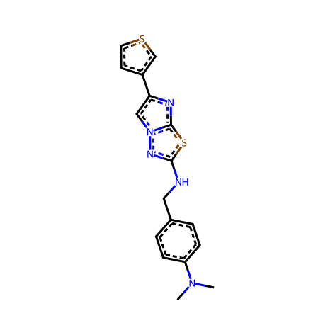 CN(C)c1ccc(CNc2nn3cc(-c4ccsc4)nc3s2)cc1